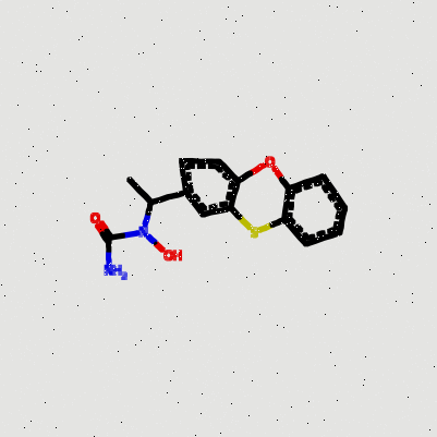 CC(c1ccc2c(c1)Sc1ccccc1O2)N(O)C(N)=O